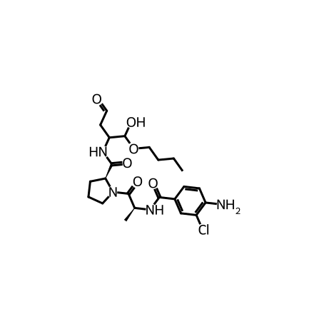 CCCCOC(O)C(CC=O)NC(=O)[C@@H]1CCCN1C(=O)[C@H](C)NC(=O)c1ccc(N)c(Cl)c1